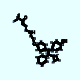 CN(C)C(=O)/C=C/CNCCOc1ccc(/C(=C(\c2ccccc2)C2CCC2)c2ccc(O)cc2)cc1